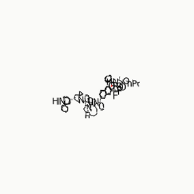 CCCOC(=O)[C@H](C)NP(=O)(Oc1ccccc1)C(F)(F)c1ccc2ccc(C(=O)N[C@H]3CCCC[C@H]4CC[C@@H](C(=O)N5C[C@H](c6cc[nH]c(=O)c6)CC56CC6)N4C3=O)cc2c1